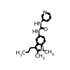 CCCc1c(C)n(C)c2ccc(NC(=O)Nc3cccnc3)cc12